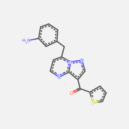 Nc1cccc(Cc2ccnc3c(C(=O)c4cccs4)cnn23)c1